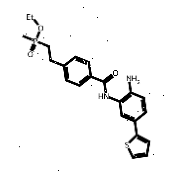 CCOP(C)(=O)CCc1ccc(C(=O)Nc2cc(-c3cccs3)ccc2N)cc1